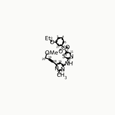 CCOc1cccc(S(=O)(=O)c2cnc(Nc3cc(C#CCOC)nc(C)n3)s2)c1